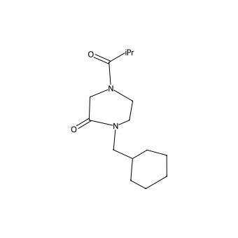 CC(C)C(=O)N1CCN(CC2CCCCC2)C(=O)C1